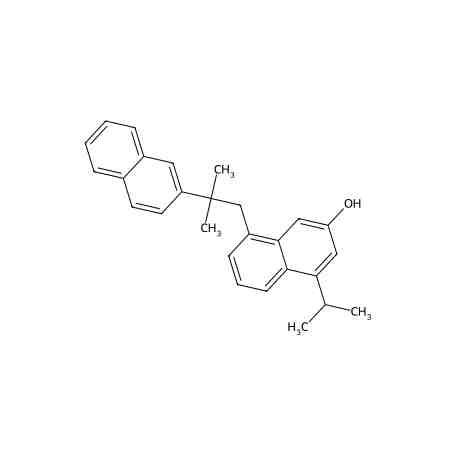 CC(C)c1cc(O)cc2c(CC(C)(C)c3ccc4ccccc4c3)cccc12